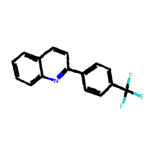 FC(F)(F)c1ccc(-c2ccc3cc[c]cc3n2)cc1